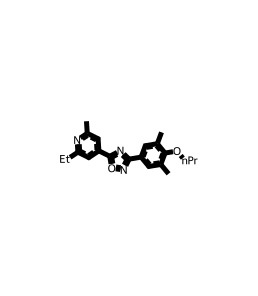 CCCOc1c(C)cc(-c2noc(-c3cc(C)nc(CC)c3)n2)cc1C